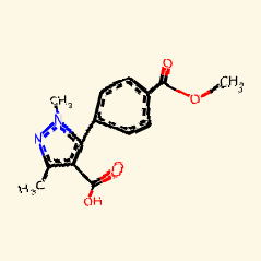 COC(=O)c1ccc(-c2c(C(=O)O)c(C)nn2C)cc1